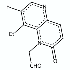 CCc1c(F)cnc2ccc(=O)n(CC=O)c12